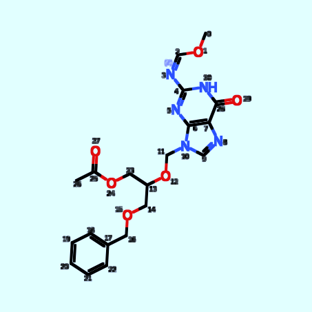 CO/C=N\c1nc2c(ncn2COC(COCc2ccccc2)COC(C)=O)c(=O)[nH]1